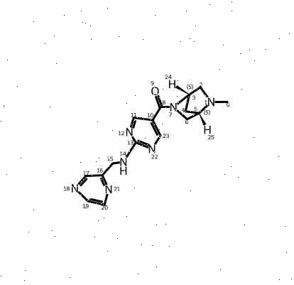 CN1C[C@@H]2C[C@H]1CN2C(=O)c1cnc(NCc2cnccn2)nc1